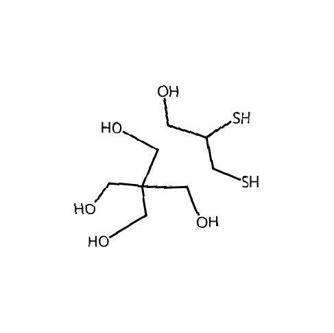 OCC(CO)(CO)CO.OCC(S)CS